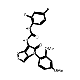 COc1ccc(-n2c3cssc-3c(NC(=O)Nc3ccc(F)cc3F)c2=O)c(OC)c1